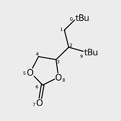 CC(C)(C)CC(C1COC(=O)O1)C(C)(C)C